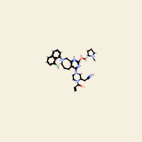 C=CC(=O)N1CCN(c2nc(OC[C@@H]3CCCN3C)nc3c2CCCN(c2cccc4cccc(Cl)c24)C3)CC1CC#N